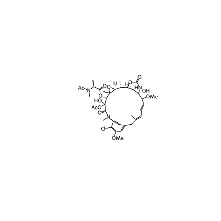 COc1cc2cc(c1Cl)N(C)C(=O)C(O)(OC(C)=O)[C@H](OC(=O)[C@H](C)N(C)C(C)=O)[C@]1(C)O[C@H]1[C@H](C)[C@@H]1C[C@@](O)(NC(=O)O1)C(OC)/C=C/C=C(\C)C2